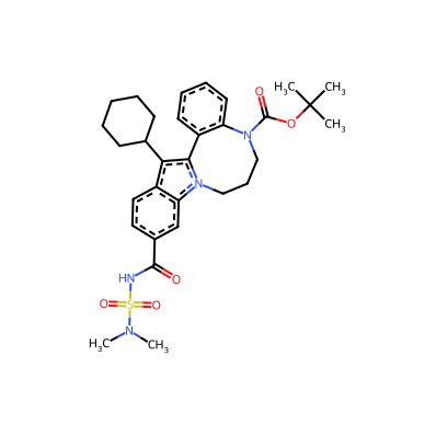 CN(C)S(=O)(=O)NC(=O)c1ccc2c(C3CCCCC3)c3n(c2c1)CCCN(C(=O)OC(C)(C)C)c1ccccc1-3